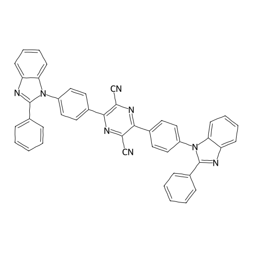 N#Cc1nc(-c2ccc(-n3c(-c4ccccc4)nc4ccccc43)cc2)c(C#N)nc1-c1ccc(-n2c(-c3ccccc3)nc3ccccc32)cc1